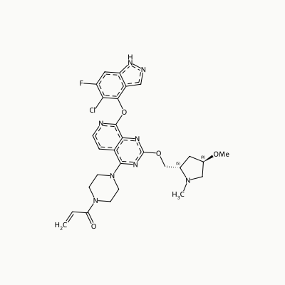 C=CC(=O)N1CCN(c2nc(OC[C@@H]3C[C@@H](OC)CN3C)nc3c(Oc4c(Cl)c(F)cc5[nH]ncc45)nccc23)CC1